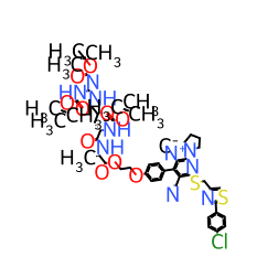 [C-]#[N+]c1c(N2CCCC2)nc(SCc2csc(-c3ccc(Cl)cc3)n2)c(C#N)c1-c1ccc(OCCOC(=O)[C@H](C)NC(=O)[C@H](CCCN/C(=N/C(=O)OC(C)(C)C)NC(=O)OC(C)(C)C)NC(=O)OC(C)(C)C)cc1